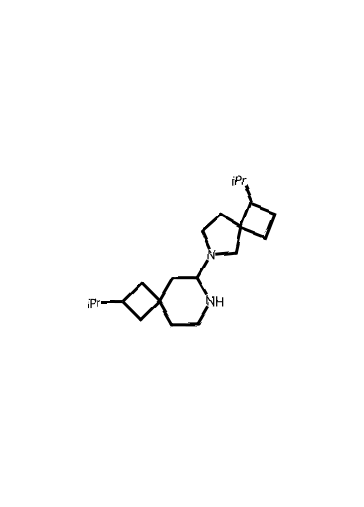 CC(C)C1CC2(CCNC(N3CCC4(CCC4C(C)C)C3)C2)C1